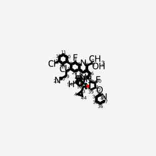 C[C@@H](O)c1nc2c(F)c(-c3cccc(Cl)c3Cl)c(CCC#N)cc2c2c1cc([C@H]1[C@@H](F)[C@H](Oc3ccccn3)CN1C(=O)C1CC1)n2[C@H]1[C@H]2CN[C@@H]1C2